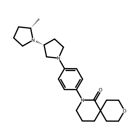 C[C@H]1CCCN1[C@@H]1CCN(c2ccc(N3CCCC4(CCOCC4)C3=O)cc2)C1